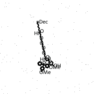 CCCCCCCCCCCCCCCC(=O)NCCOCCOCCOCCOCCC(=O)N[C@@H](COC(c1ccccc1)(c1ccc(OC)cc1)c1ccc(OC)cc1)C(=O)N1CCC(CO)CC1